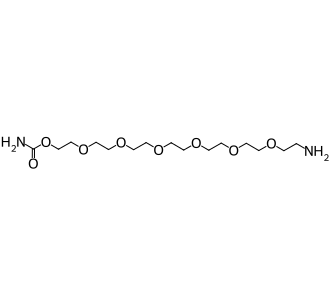 NCCOCCOCCOCCOCCOCCOCCOC(N)=O